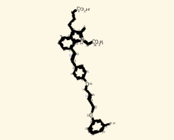 Cc1c(CCCC(=O)O)c2cccc(/C=C/c3ccc(OC/C=C/COc4cccc(F)c4)cc3)c2n1CC(=O)O